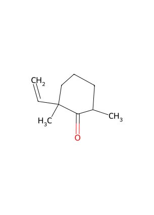 C=CC1(C)CCCC(C)C1=O